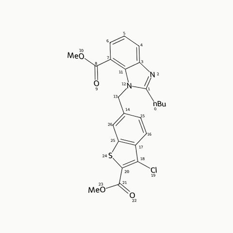 CCCCc1nc2cccc(C(=O)OC)c2n1Cc1ccc2c(Cl)c(C(=O)OC)sc2c1